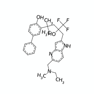 CCN(C)Cc1ccc2[nH]c(CC(O)(CC(C)(C)c3cc(-c4ccccc4)ccc3O)C(F)(F)F)cc2n1